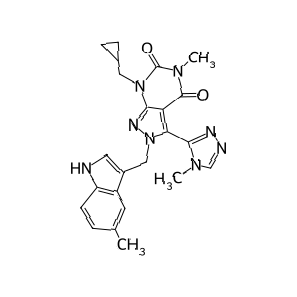 Cc1ccc2[nH]cc(Cn3nc4c(c3-c3nncn3C)c(=O)n(C)c(=O)n4CC3CC3)c2c1